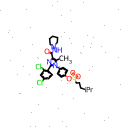 Cc1c(C(=O)NN2CCCCC2)nc(-c2ccc(Cl)cc2Cl)n1-c1ccc(OS(=O)(=O)CCCC(C)C)cc1